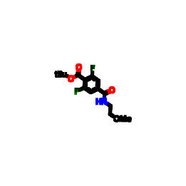 COCCNC(=O)c1cc(F)c(C(=O)OC(C)(C)C)c(F)c1